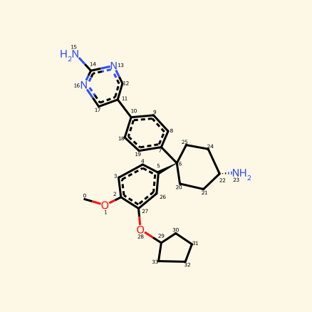 COc1ccc([C@]2(c3ccc(-c4cnc(N)nc4)cc3)CC[C@@H](N)CC2)cc1OC1CCCC1